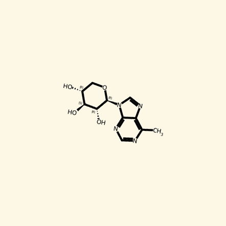 Cc1ncnc2c1ncn2[C@@H]1OC[C@@H](O)[C@H](O)[C@H]1O